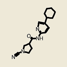 N#CN1CCC(C(=O)Nc2ccc(C3CCCCC3)cn2)C1